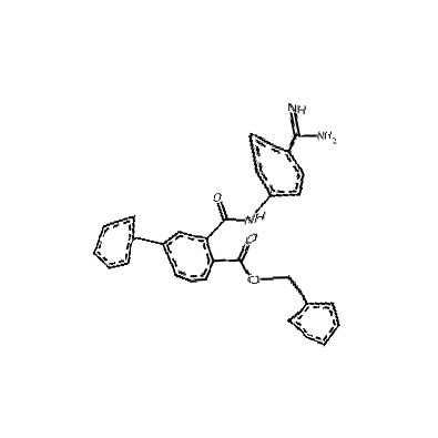 N=C(N)c1ccc(NC(=O)c2cc(-c3ccccc3)ccc2C(=O)OCc2ccccc2)cc1